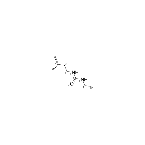 C=C(C)CCNC(=O)NCC